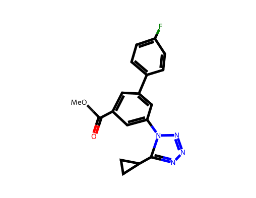 COC(=O)c1cc(-c2ccc(F)cc2)cc(-n2nnnc2C2CC2)c1